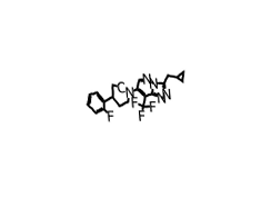 Fc1ccccc1C1CCN(c2cnn3c(CC4CC4)nnc3c2C(F)(F)F)CC1